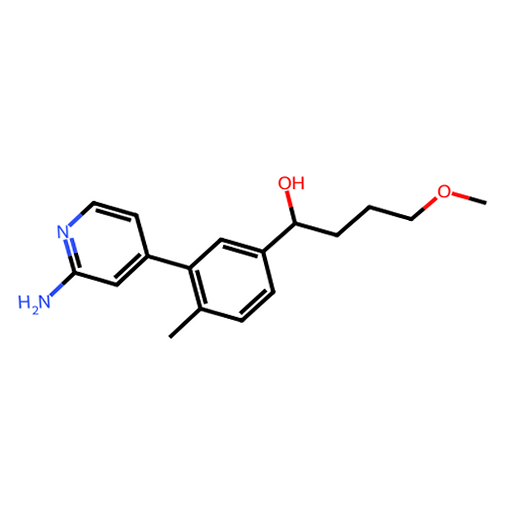 COCCCC(O)c1ccc(C)c(-c2ccnc(N)c2)c1